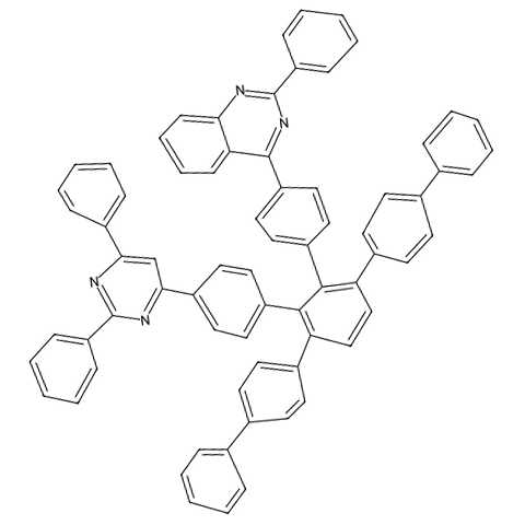 c1ccc(-c2ccc(-c3ccc(-c4ccc(-c5ccccc5)cc4)c(-c4ccc(-c5nc(-c6ccccc6)nc6ccccc56)cc4)c3-c3ccc(-c4cc(-c5ccccc5)nc(-c5ccccc5)n4)cc3)cc2)cc1